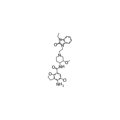 CCn1c(=O)n(CCN2CCC(NC(=O)c3cc(Cl)c(N)c4c3OCC4)C(OC)C2)c2ccccc21